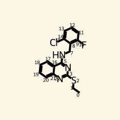 CCSc1nc(NCc2c(F)cccc2Cl)c2ccccc2n1